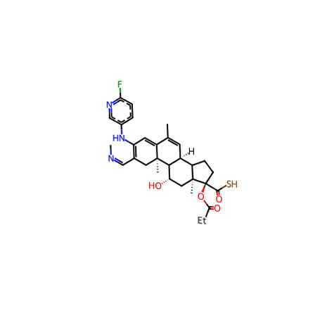 CCC(=O)O[C@]1(C(=O)S)CCC2[C@@H]3C=C(C)C4=CC(Nc5ccc(F)nc5)=C(/C=N\C)C[C@]4(C)C3[C@@H](O)C[C@@]21C